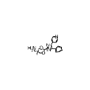 CC1(CN)COC(c2nc(-c3ccncc3)c(-c3ccccc3)[nH]2)OC1